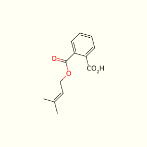 CC(C)=CCOC(=O)c1ccccc1C(=O)O